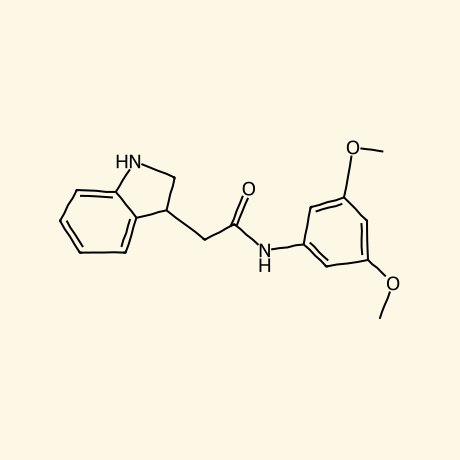 COc1cc(NC(=O)CC2CNc3ccccc32)cc(OC)c1